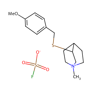 COc1ccc(CSC2C[N+]3(C)CCC2CC3)cc1.O=S(=O)([O-])F